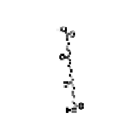 O=C(O)CCCCC(=O)CCCCCC(=O)CCCCC(=O)O